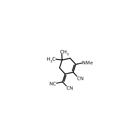 CNC1=C(C#N)C(=C(C#N)C#N)CC(C)(C)C1